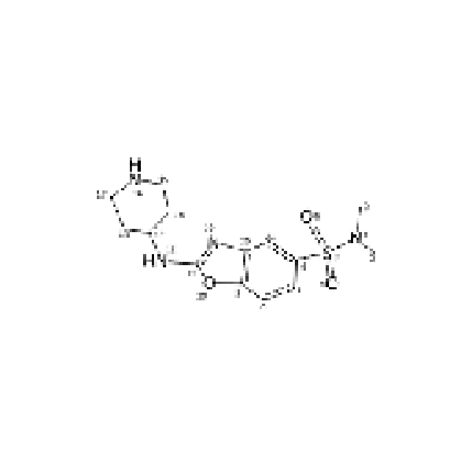 CN(C)S(=O)(=O)c1ccc2oc(NC3CCNCC3)nc2c1